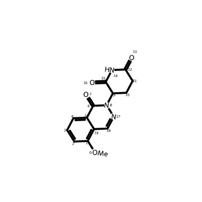 COc1cccc2c(=O)n(C3CCC(=O)NC3=O)ncc12